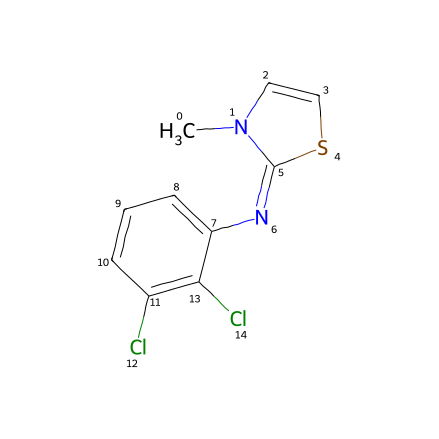 Cn1ccsc1=Nc1cccc(Cl)c1Cl